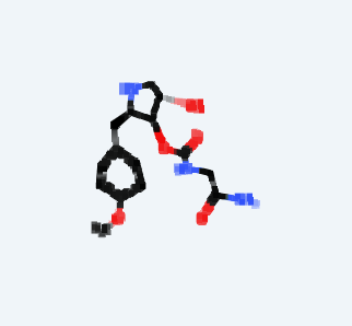 COc1ccc(C[C@H]2NC[C@H](O)[C@H]2OC(=O)NCC(N)=O)cc1